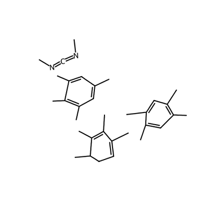 CC1=CCC(C)C(C)=C1C.CN=C=NC.Cc1cc(C)c(C)c(C)c1.Cc1cc(C)c(C)cc1C